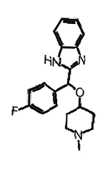 CN1CCC(OC(c2ccc(F)cc2)c2nc3ccccc3[nH]2)CC1